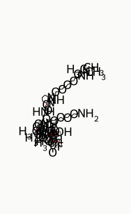 CO[C@]1(C(=O)CNC(=O)[C@H](C)NC(=O)[C@@H](NC(=O)[C@@H](CCCCNC(=O)COC2CCCCCC3=C2NNN3CCOCCOCCOCCOCCC(=O)NCC[N+](C)(C)C)NC(=O)CCOCCOCCOCCOCCN)C(C)C)[C@H](O)CC2[C@@H]3C[C@H](F)C4=CC(=O)C=C[C@]4(C)[C@@]3(F)[C@@H](O)C[C@@]21C